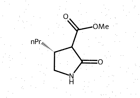 CCC[C@H]1CNC(=O)C1C(=O)OC